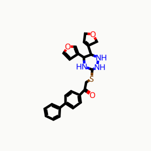 O=C(CSC1NNC(C2=CCOC2)C(c2ccoc2)N1)c1ccc(-c2ccccc2)cc1